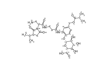 CC(C)C(=O)OCc1ccc(O[C@H]2O[C@@H](C(=O)O)[C@H](O)[C@@H](O)[C@@H]2O)c(NC(=O)CCNC(=O)C(CN)N2C(=O)CC(C(C)C)C2=O)c1